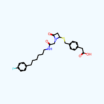 O=C(O)Cc1ccc(CSC2CC(=O)N2CC(=O)NCCCCCCc2ccc(F)cc2)cc1